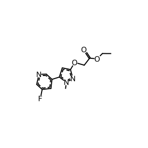 CCOC(=O)COc1cc(-c2cncc(F)c2)n(C)n1